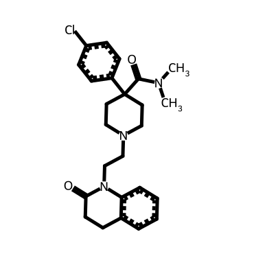 CN(C)C(=O)C1(c2ccc(Cl)cc2)CCN(CCN2C(=O)CCc3ccccc32)CC1